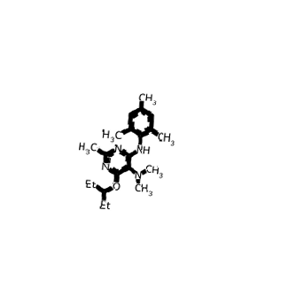 CCC(CC)Oc1nc(C)nc(Nc2c(C)cc(C)cc2C)c1N(C)C